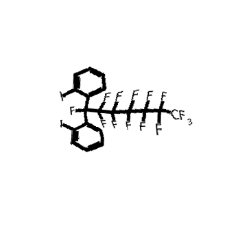 FC(F)(F)C(F)(F)C(F)(F)C(F)(F)C(F)(F)C(F)(F)C(F)(c1ccccc1I)c1ccccc1I